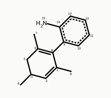 CC1=CC(C)CC(C)=C1c1ccccc1N